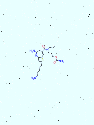 CCCN(CCCOC(N)=O)C(=O)C1=Cc2sc(CCCCCN)cc2N=C(N)C1